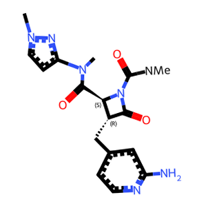 CNC(=O)N1C(=O)[C@H](Cc2ccnc(N)c2)[C@H]1C(=O)N(C)c1ccn(C)n1